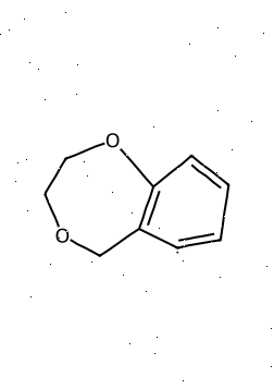 [c]1cccc2c1COCCO2